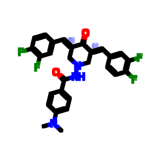 CN(C)c1ccc(C(=O)NN2C/C(=C\c3ccc(F)c(F)c3)C(=O)/C(=C/c3ccc(F)c(F)c3)C2)cc1